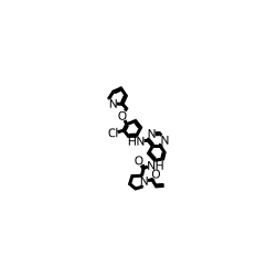 C=CC(=O)N1CCCCC1C(=O)Nc1ccc2ncnc(Nc3ccc(OCc4ccccn4)c(Cl)c3)c2c1